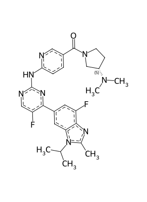 Cc1nc2c(F)cc(-c3nc(Nc4ccc(C(=O)N5CC[C@H](N(C)C)C5)cn4)ncc3F)cc2n1C(C)C